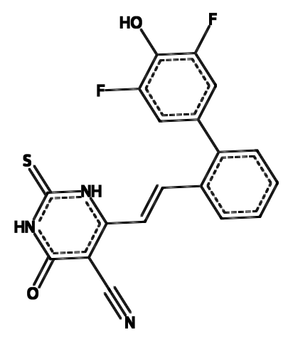 N#Cc1c(/C=C/c2ccccc2-c2cc(F)c(O)c(F)c2)[nH]c(=S)[nH]c1=O